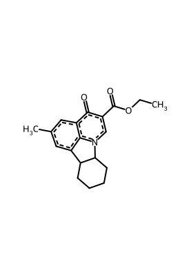 CCOC(=O)c1cn2c3c(cc(C)cc3c1=O)C1CCCCC12